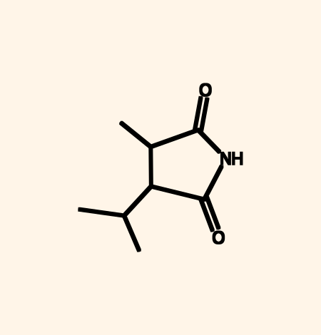 CC(C)C1C(=O)NC(=O)C1C